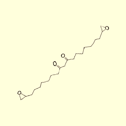 O=C(CCCCCCCC1CO1)CC(=O)CCCCCCCC1CO1